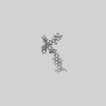 CC1(C)CCC(c2ccc(Cl)cc2)=C(CN2CCN(c3ccc(C(=O)NS(=O)(=O)c4ccc(N[C@H](CCN5C6CCC5CN(Cc5ccc7c(c5)CN(N5CCC(=O)NC5=O)C7=O)C6)CSc5ccccc5)c(S(=O)(=O)C(F)(F)F)c4)cc3)CC2)C1